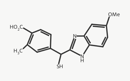 COc1ccc2[nH]c(C(S)c3ccc(C(=O)O)c(C)c3)nc2c1